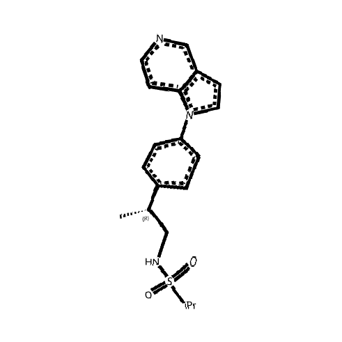 CC(C)S(=O)(=O)NC[C@H](C)c1ccc(-n2ccc3cnccc32)cc1